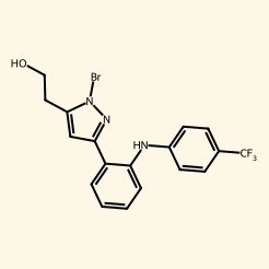 OCCc1cc(-c2ccccc2Nc2ccc(C(F)(F)F)cc2)nn1Br